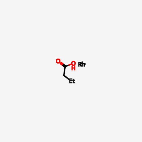 CCCC(=O)O.[Rh]